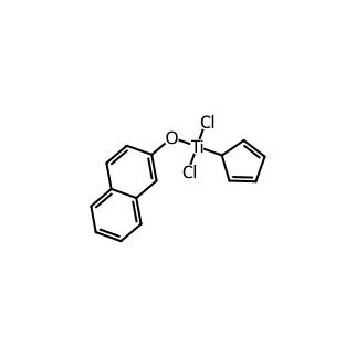 [Cl][Ti]([Cl])([O]c1ccc2ccccc2c1)[CH]1C=CC=C1